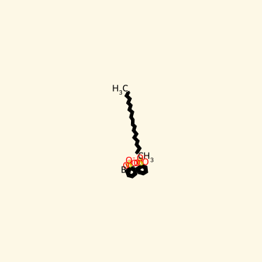 CCCCCCCCCCCCCCCCCCCC.O=S(=O)([O-])c1ccccc1.O=S(=O)([O-])c1ccccc1.[Ba+2]